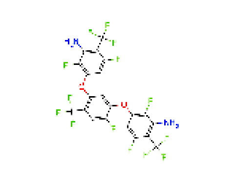 Nc1c(F)c(Oc2cc(Oc3cc(F)c(C(F)(F)F)c(N)c3F)c(C(F)(F)F)cc2F)cc(F)c1C(F)(F)F